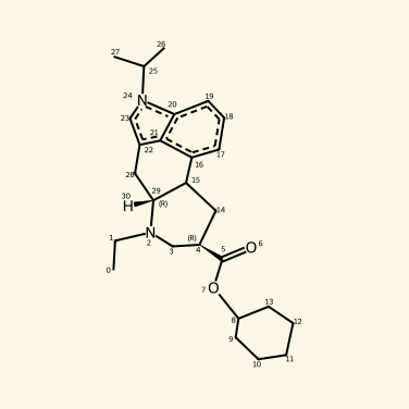 CCN1C[C@H](C(=O)OC2CCCCC2)CC2c3cccc4c3c(cn4C(C)C)C[C@H]21